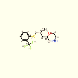 CC(CSc1ccccc1C(F)(F)F)CC1CNCCO1